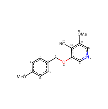 COc1ccc(COc2cncc(OC)c2C#N)cc1